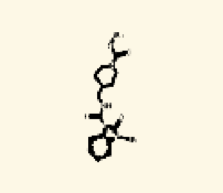 CC(C)n1c(=O)n(C(=O)NCC2CCN(C(=O)OC(C)(C)C)CC2)c2ccccc21